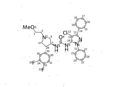 COCCN1C[C@@H](NC(=O)Nc2c(Cl)c(-c3ccccc3)nn2-c2ccccc2)[C@H](c2ccc(F)c(F)c2)C1